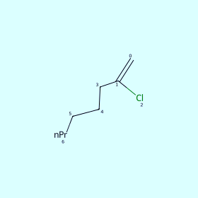 C=C(Cl)CCCCCC